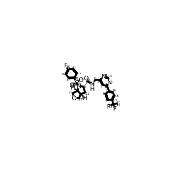 O=C(NCc1cc(-c2ccc(C(F)(F)F)cc2)ncn1)[C@@H]1C[C@@H]2COC[C@@H]2N1S(=O)(=O)c1ccc(F)cc1